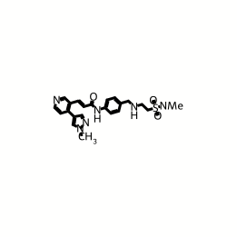 CNS(=O)(=O)CCNCc1ccc(NC(=O)/C=C/c2cnccc2-c2cnn(C)c2)cc1